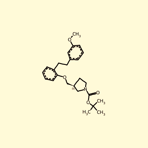 COc1cccc(CCc2ccccc2OC[C@H]2CCN(C(=O)OC(C)(C)C)C2)c1